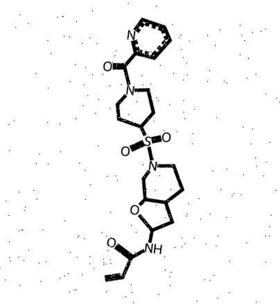 C=CC(=O)NC1CC2CCN(S(=O)(=O)C3CCN(C(=O)c4ccccn4)CC3)CC2O1